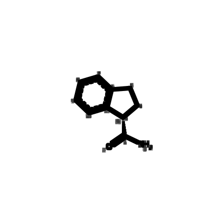 NC(=O)[C@H]1CCc2ccccc21